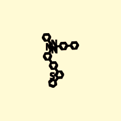 c1ccc(-c2ccc(-c3nc(-c4ccccc4)nc(-c4cccc(-c5ccc(-c6cccc7c6sc6ccccc67)cc5)c4)n3)cc2)cc1